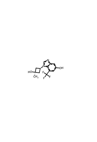 C[C@]1(O)C[C@@H](n2cnc3cc(O)cc(C(F)(F)F)c32)C1